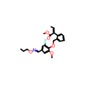 CC=C(C(=O)OC)c1ccccc1COc1c(F)cc(C=NOCCC)cc1OC